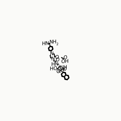 CC(=O)O.N=C(N)c1ccc(N2CCN(CC(=O)NC[C@H](NS(=O)(=O)c3ccc4ccccc4c3)C(=O)O)C(=O)C2)cc1